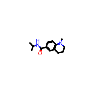 CC(C)NC(=O)c1ccc2c(c1)CCCN2C